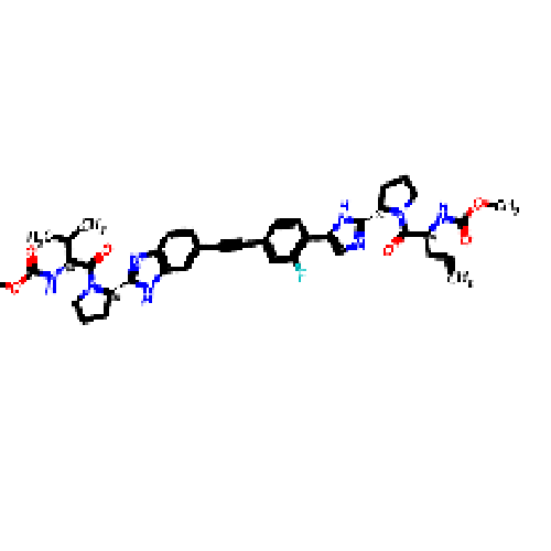 C=CC[C@H](NC(=O)OC)C(=O)N1CCC[C@H]1c1ncc(-c2ccc(C#Cc3ccc4nc([C@@H]5CCCN5C(=O)[C@@H](NC(=O)OC)C(C)C)[nH]c4c3)cc2F)[nH]1